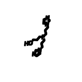 OCCCP(CCCn1ccnc1)CCCn1ccnc1